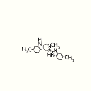 Cc1ccc2[nH]c([C@H]3Cc4c([nH]c5cc(C)ccc45)CN3C)nc2c1